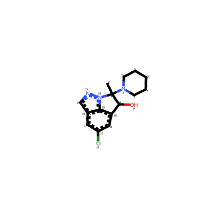 CC1(N2CCCCC2)C(O)c2cc(Cl)cc3cnn1c23